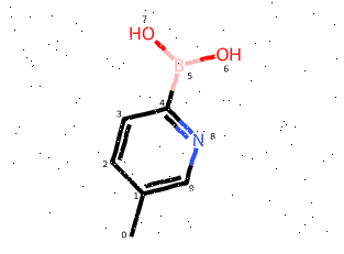 Cc1ccc(B(O)O)nc1